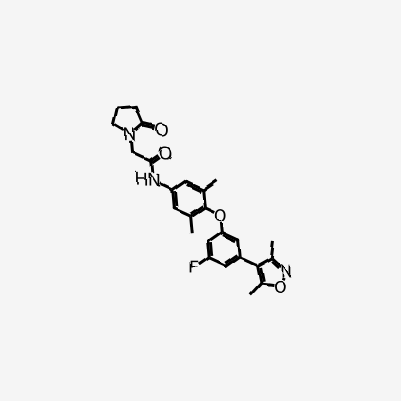 Cc1cc(NC(=O)CN2CCCC2=O)cc(C)c1Oc1cc(F)cc(-c2c(C)noc2C)c1